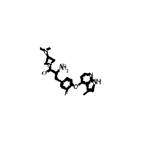 Cc1c[nH]c2nccc(Oc3ccc(CC(N)C(=O)N4CC(N(C)C)C4)cc3F)c12